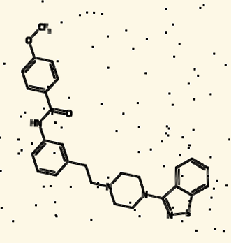 O=C(Nc1cccc(CCN2CCN(c3nsc4ccccc34)CC2)c1)c1ccc(OC(F)(F)F)cc1